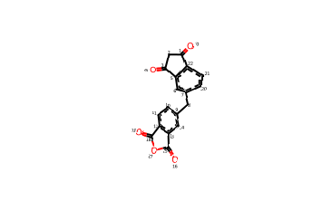 O=C1CC(=O)c2cc(Cc3ccc4c(c3)C(=O)OC4=O)ccc21